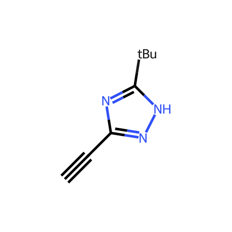 C#Cc1n[nH]c(C(C)(C)C)n1